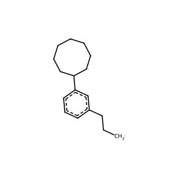 [CH2]CCc1cccc(C2[CH]CCCCCC2)c1